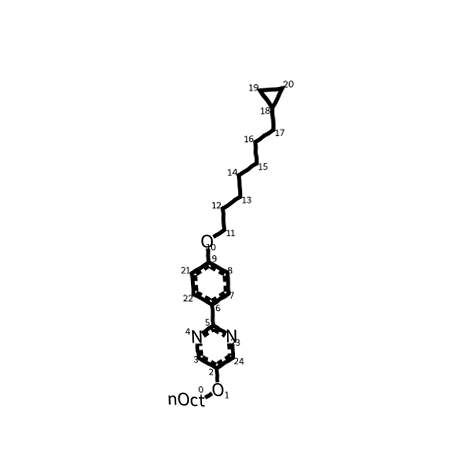 CCCCCCCCOc1cnc(-c2ccc(OCCCCCCCC3CC3)cc2)nc1